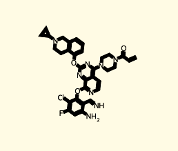 C=CC(=O)N1CCN(c2nc(Oc3cccc4c3CCN(C3CC3)C4)nc3c(Oc4c(Cl)c(F)cc(N)c4C=N)nccc23)CC1